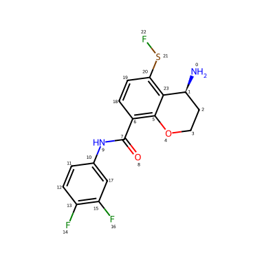 N[C@H]1CCOc2c(C(=O)Nc3ccc(F)c(F)c3)ccc(SF)c21